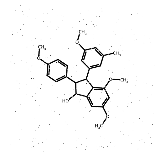 COc1ccc(C2C(O)c3cc(OC)cc(OC)c3C2c2cc(C)cc(OC)c2)cc1